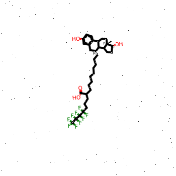 C[C@]12CCC3c4ccc(O)cc4C[C@@H](CCCCCCCCCC(CCCC(F)(F)C(F)(F)C(F)(F)C(F)(F)F)C(=O)O)C3C1CC[C@@H]2O